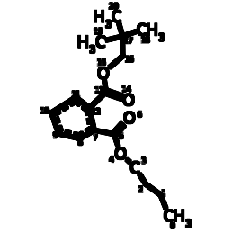 CCCCOC(=O)c1ccccc1C(=O)OCC(C)(C)C